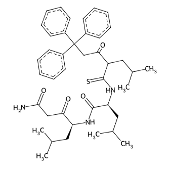 CC(C)CC(C(=O)CC(c1ccccc1)(c1ccccc1)c1ccccc1)C(=S)N[C@@H](CC(C)C)C(=O)N[C@@H](CC(C)C)C(=O)CC(N)=O